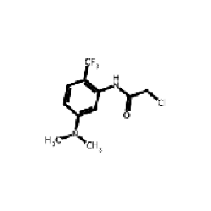 CN(C)c1ccc(C(F)(F)F)c(NC(=O)CCl)c1